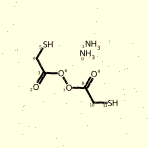 N.N.O=C(CS)OOC(=O)CS